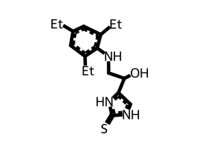 CCc1cc(CC)c(NCC(O)c2c[nH]c(=S)[nH]2)c(CC)c1